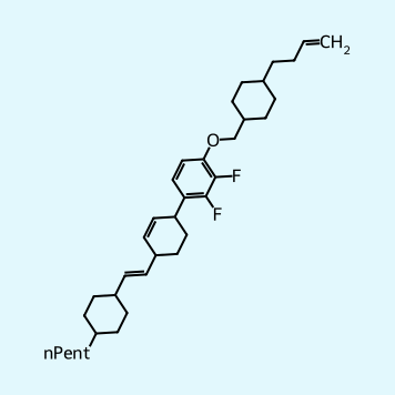 C=CCCC1CCC(COc2ccc(C3C=CC(/C=C/C4CCC(CCCCC)CC4)CC3)c(F)c2F)CC1